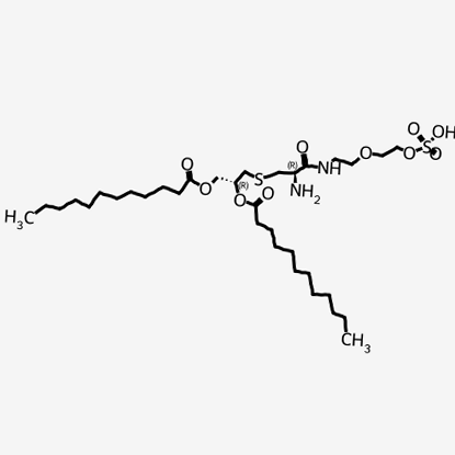 CCCCCCCCCCCC(=O)OC[C@H](CSC[C@H](N)C(=O)NCCOCCOS(=O)(=O)O)OC(=O)CCCCCCCCCCC